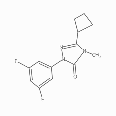 Cn1c(C2CCC2)nn(-c2cc(F)cc(F)c2)c1=O